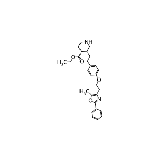 CCOC(=O)[C@H]1CCNC[C@H]1CCc1ccc(OCCc2nc(-c3ccccc3)oc2C)cc1